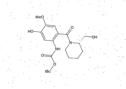 COc1cc(C(=O)N2CCCC[C@H]2CO)c(NC(=O)OC(C)(C)C)cc1O